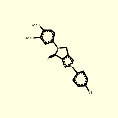 COc1ccc(N2Cc3cn(-c4ccc(Cl)cc4)nc3C2=O)cc1OC